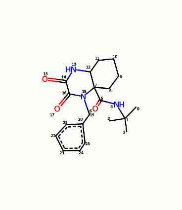 CC(C)(C)NC(=O)C12CCCCC1NC(=O)C(=O)N2Cc1ccccc1